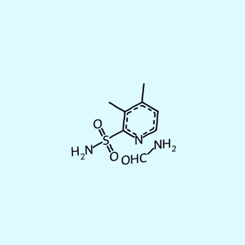 Cc1ccnc(S(N)(=O)=O)c1C.NC=O